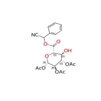 CC(=O)O[C@@H]1O[C@H](C(=O)OC(C#N)c2ccccc2)[C@@H](O)[C@H](OC(C)=O)[C@H]1OC(C)=O